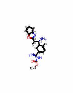 CC1=CC=C(C(=N)NC(=O)OC(C)(C)C)CC1[C@H](N)C(C)c1nc2ccccc2o1